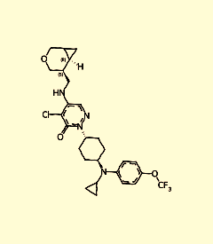 O=c1c(Cl)c(NC[C@H]2COCC3C[C@H]32)cnn1[C@H]1CC[C@H](N(c2ccc(OC(F)(F)F)cc2)C2CC2)CC1